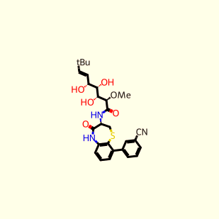 CO[C@@H](C(=O)N[C@H]1CSc2c(cccc2-c2cccc(C#N)c2)NC1=O)[C@H](O)[C@@H](O)[C@H](O)C=CC(C)(C)C